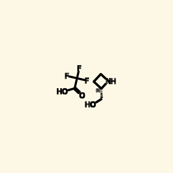 O=C(O)C(F)(F)F.OC[C@@H]1CCN1